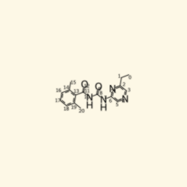 CCc1cncc(NC(=O)NC(=O)c2c(C)cccc2C)n1